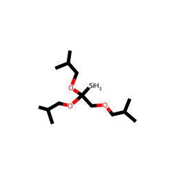 CC(C)COCC([SiH3])(OCC(C)C)OCC(C)C